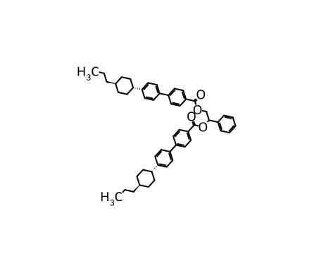 CCC[C@H]1CC[C@H](c2ccc(-c3ccc(C(=O)OCC(OC(=O)c4ccc(-c5ccc([C@H]6CC[C@H](CCC)CC6)cc5)cc4)c4ccccc4)cc3)cc2)CC1